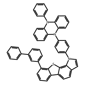 c1ccc(-c2cccc(-c3cccc4c3sc3c4ccc4ccn(-c5ccc(N6c7ccccc7N(c7ccccc7)c7ccccc76)cc5)c43)c2)cc1